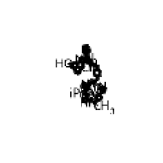 CC1c2c(ncc3c(N4CC5CCC(C4)N5)nc(OCCN4CCC(CC5CN(c6cc([C@H](C(=O)N7CCC[C@H]7C(=O)N[C@@H](C)c7ccc(-c8ccnn8C)cc7)C(C)C)on6)C5)CC4)nc23)-c2cc(O)cc3cccc1c23